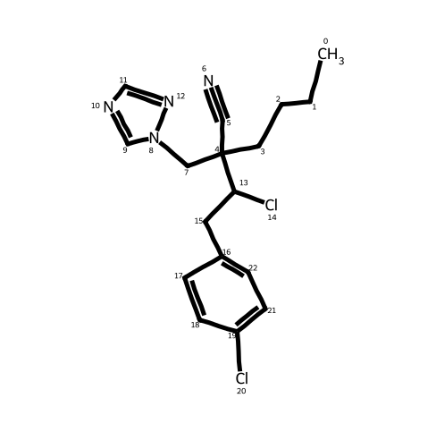 CCCCC(C#N)(Cn1cncn1)C(Cl)Cc1ccc(Cl)cc1